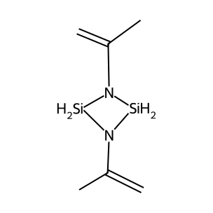 C=C(C)N1[SiH2]N(C(=C)C)[SiH2]1